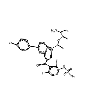 CCCS(=O)(=O)Nc1ccc(F)c(C(=O)c2cn(C(C)OC(=O)C(N)C(C)C)c3ncc(-c4ccc(Cl)cc4)cc23)c1F